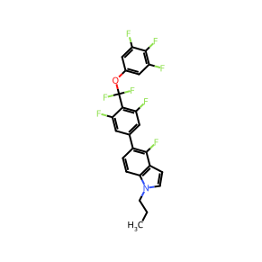 CCCn1ccc2c(F)c(-c3cc(F)c(C(F)(F)Oc4cc(F)c(F)c(F)c4)c(F)c3)ccc21